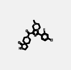 CN1CCn2c(-c3ccc(Cl)cc3F)nc(C(=O)N3CCC4(CCNC4=O)CC3)c2C1